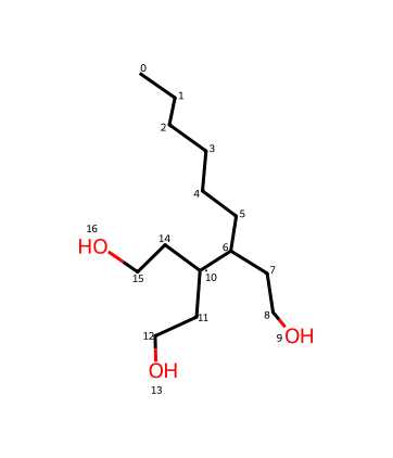 CCCCCCC(CCO)[C](CCO)CCO